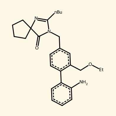 CCCCC1=NC2(CCCC2)C(=O)N1Cc1ccc(-c2ccccc2N)c(COCC)c1